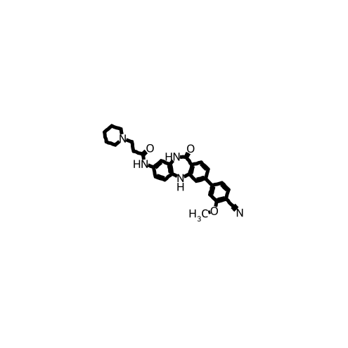 COc1cc(-c2ccc3c(c2)Nc2ccc(NC(=O)CCN4CCCCC4)cc2NC3=O)ccc1C#N